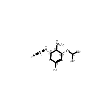 CCC(CC)O[C@@H]1C=C(Br)C[C@H](N=[N+]=[N-])C1NC(C)=O